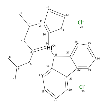 CC(C)C[C](CC(C)C)=[Hf+2]([C]1=CC=CC1)[CH]1c2ccccc2-c2ccccc21.[Cl-].[Cl-]